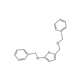 c1ccc(COCc2ccc(OCc3ccccc3)s2)cc1